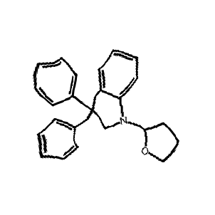 c1ccc(C2(c3ccccc3)CN(C3CCCO3)c3ccccc32)cc1